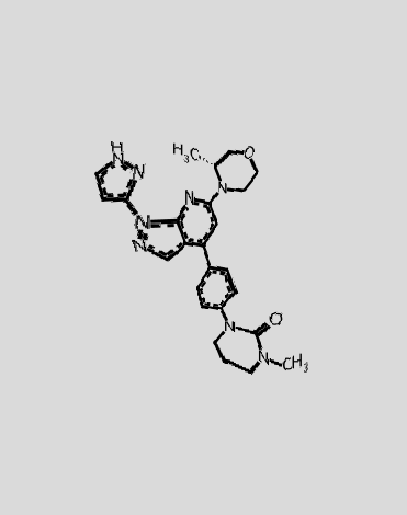 C[C@@H]1COCCN1c1cc(-c2ccc(N3CCCN(C)C3=O)cc2)c2cnn(-c3cc[nH]n3)c2n1